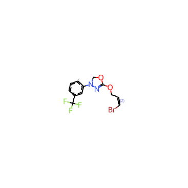 FC(F)(F)c1cc[c]c(N2COC(OC/C=C\Br)=N2)c1